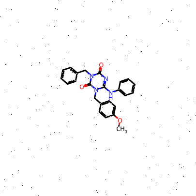 COc1ccc(Cn2c(Nc3ccccc3)nc(=O)n(Cc3ccccc3)c2=O)cc1